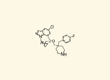 C[C@@H](OCC1(Cc2ccc(F)cc2)CCNCC1)c1cc(Cl)cc2cnn(CC3CC3)c12